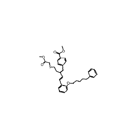 COC(=O)CSCCC(/C=C/c1ccccc1OCCCCCc1ccccc1)Cc1ccc(C(=O)OC)cc1